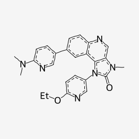 CCOc1ccc(-n2c(=O)n(C)c3cnc4ccc(-c5ccc(N(C)C)nc5)cc4c32)cn1